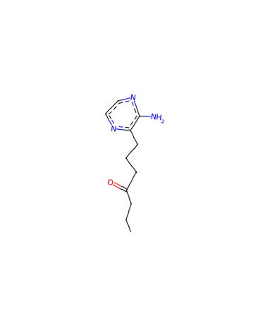 CCCC(=O)CCCc1nccnc1N